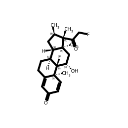 C[C@@H]1C[C@H]2[C@@H]3CCC4=CC(=O)C=C[C@]4(C)[C@@]3(F)[C@@H](O)C[C@]2(C)[C@@]1(C)C(=O)CF